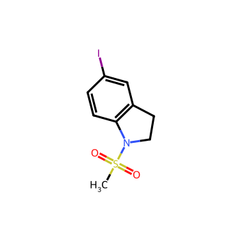 CS(=O)(=O)N1CCc2cc(I)ccc21